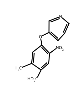 Cc1cc(Oc2cccnc2)c([N+](=O)[O-])cc1C(=O)O